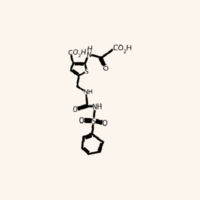 O=C(NCc1cc(C(=O)O)c(NC(=O)C(=O)O)s1)NS(=O)(=O)c1ccccc1